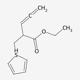 C=C=CC(C[SH]1C=CC=C1)C(=O)OCC